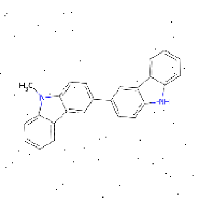 Cn1c2ccccc2c2cc(-c3ccc4[nH]c5ccccc5c4c3)ccc21